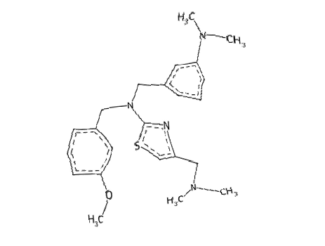 COc1cccc(CN(Cc2cccc(N(C)C)c2)c2nc(CN(C)C)cs2)c1